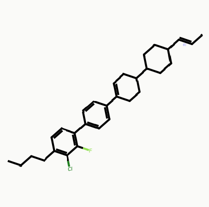 C/C=C/C1CCC(C2CC=C(c3ccc(-c4ccc(CCCC)c(Cl)c4F)cc3)CC2)CC1